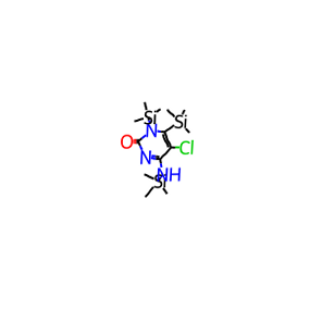 C[Si](C)(C)Nc1nc(=O)n([Si](C)(C)C)c([Si](C)(C)C)c1Cl